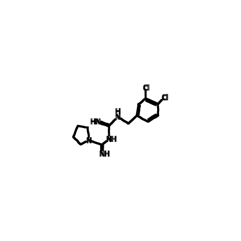 N=C(NCc1ccc(Cl)c(Cl)c1)NC(=N)N1CCCC1